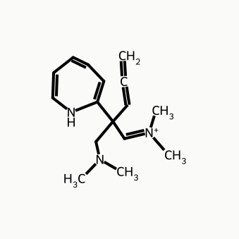 C=C=CC(C=[N+](C)C)(CN(C)C)C1=CC=CC=CN1